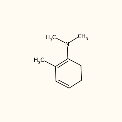 CC1=C(N(C)C)CCC=C1